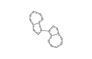 c1ccc2ccc(-c3ccc4cccccc3-4)c-2cc1